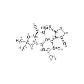 CCCCOC(=O)[C@@H]1OC(C)(C)O[C@H]1C(=O)O[C@@H](C)C(=O)ON1C(=O)CCC1=O